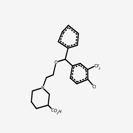 O=C(O)C1CCCN(CCOC(c2ccccc2)c2ccc(Cl)c(C(F)(F)F)c2)C1